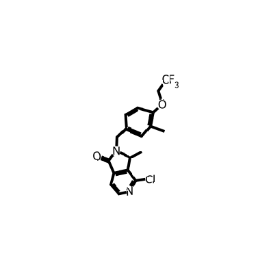 Cc1cc(CN2C(=O)c3ccnc(Cl)c3C2C)ccc1OCC(F)(F)F